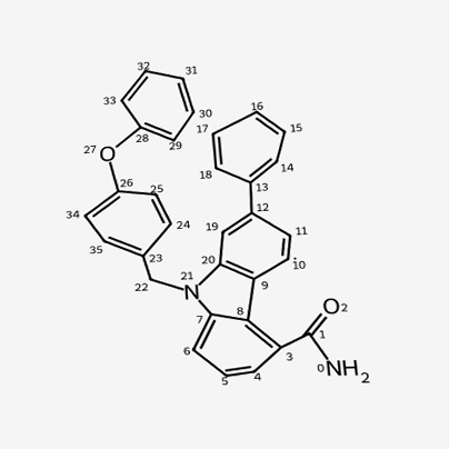 NC(=O)c1cccc2c1c1[c]cc(-c3ccccc3)cc1n2Cc1ccc(Oc2ccccc2)cc1